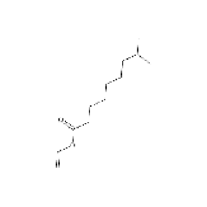 C=COC(=O)CCCCCCC(C)C